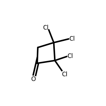 O=C1CC(Cl)(Cl)C1(Cl)Cl